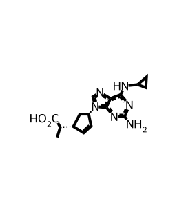 CC(C(=O)O)[C@H]1C=C[C@@H](n2cnc3c(NC4CC4)nc(N)nc32)C1